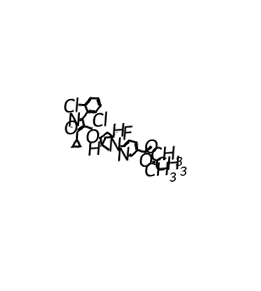 CC(C)(C)OC(=O)c1cnc(N2C[C@@H]3C[C@H]2C[C@H]3OCc2c(-c3c(Cl)cccc3Cl)noc2C2CC2)c(F)c1